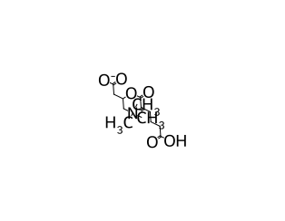 C[N+](C)(C)CC(CC(=O)[O-])OC(=O)CCCCC(=O)O